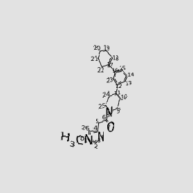 Cn1cnc(CC(=O)N2CCC(c3cc[c]c(C4=CCCCC4)c3)CC2)c1